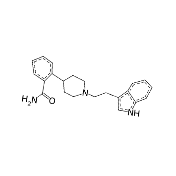 NC(=O)c1ccccc1C1CCN(CCc2c[nH]c3ccccc23)CC1